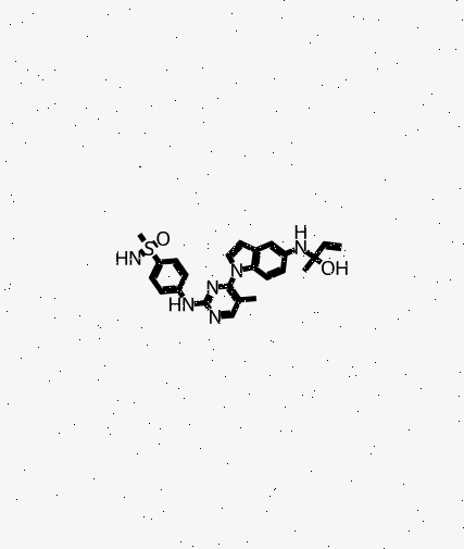 C=CC(C)(O)Nc1ccc2c(ccn2-c2nc(Nc3ccc(S(C)(=N)=O)cc3)ncc2C)c1